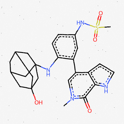 Cn1cc(-c2cc(NS(C)(=O)=O)ccc2NC23CC4CC(CC(O)(C4)C2)C3)c2cc[nH]c2c1=O